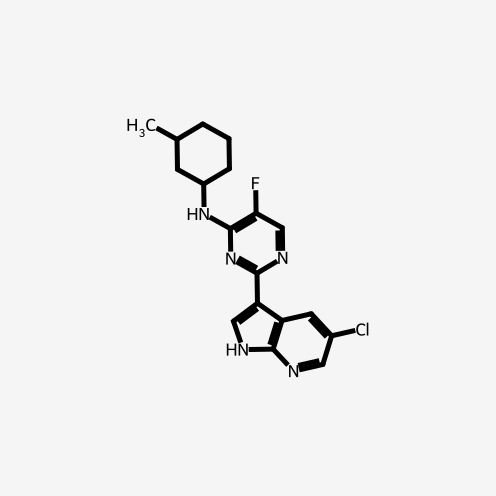 CC1CCCC(Nc2nc(-c3c[nH]c4ncc(Cl)cc34)ncc2F)C1